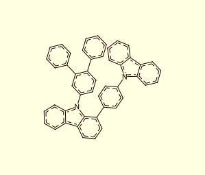 c1ccc(-c2ccc(-n3c4ccccc4c4cccc(-c5ccc(-n6c7ccccc7c7ccccc76)cc5)c43)cc2-c2ccccc2)cc1